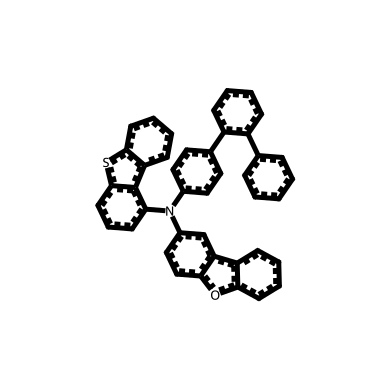 c1ccc(-c2ccccc2-c2ccc(N(c3ccc4oc5ccccc5c4c3)c3cccc4sc5ccccc5c34)cc2)cc1